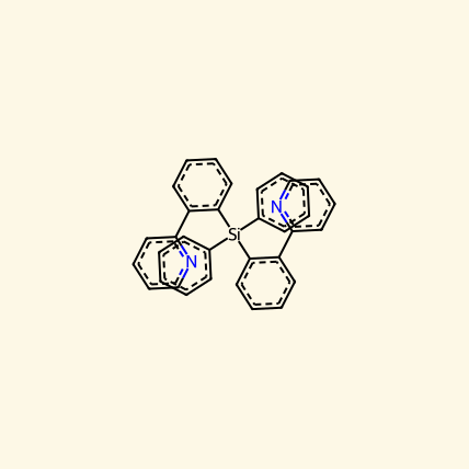 c1ccc([Si](c2ccccc2)(c2ccccc2-c2ccccn2)c2ccccc2-c2ccccn2)cc1